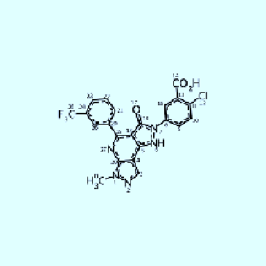 Cn1ncc2c3[nH]n(-c4ccc(Cl)c(C(=O)O)c4)c(=O)c3c(-c3cccc(C(F)(F)F)c3)nc21